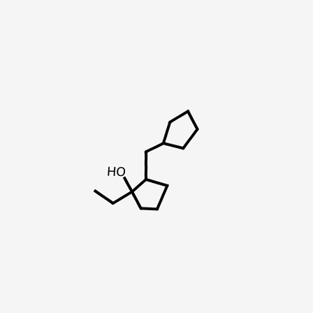 CCC1(O)CCCC1CC1CCCC1